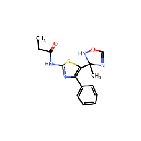 CCC(=O)Nc1nc(-c2ccccc2)c(C2(C)N=CON2)s1